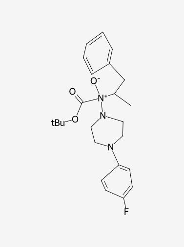 CC(Cc1ccccc1)[N+]([O-])(C(=O)OC(C)(C)C)N1CCN(c2ccc(F)cc2)CC1